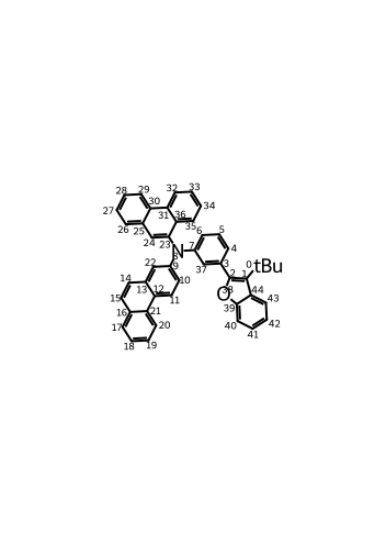 CC(C)(C)c1c(-c2cccc(N(c3ccc4c(ccc5ccccc54)c3)c3cc4ccccc4c4ccccc34)c2)oc2ccccc12